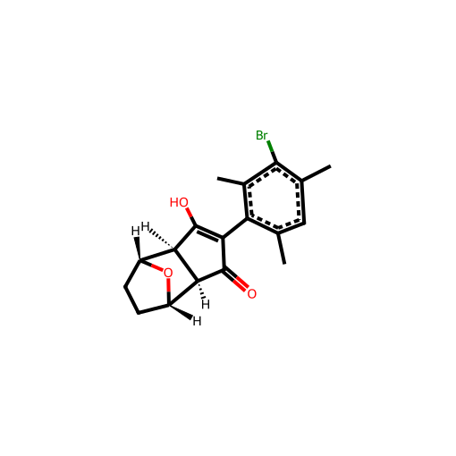 Cc1cc(C)c(C2=C(O)[C@H]3[C@@H](C2=O)[C@@H]2CC[C@H]3O2)c(C)c1Br